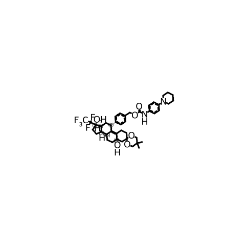 CC1(C)COC2(CCC3=C4[C@@H](CC[C@@]3(O)C2)[C@@H]2CC[C@@](O)(C(F)(F)C(F)(F)F)[C@@]2(C)C[C@@H]4c2ccc(COC(=O)Nc3ccc(N4CCCCC4)cc3)cc2)OC1